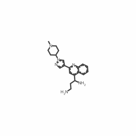 CN1CCC(n2cc(-c3cc(C(N)CCN)c4ccccc4n3)cn2)CC1